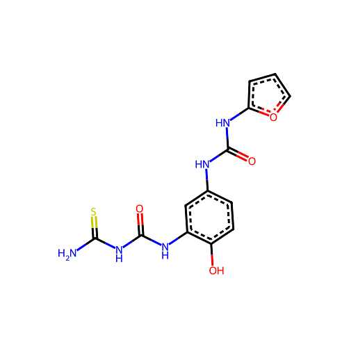 NC(=S)NC(=O)Nc1cc(NC(=O)Nc2ccco2)ccc1O